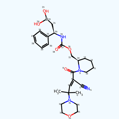 CC(C)(C=C(C#N)C(=O)N1CCCC[C@@H]1COC(=O)N[C@H](CB(O)O)c1ccccc1)N1CCOCC1